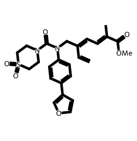 C=C/C(=C\C=C(/C)C(=O)OC)CN(C(=O)N1CCS(=O)(=O)CC1)c1ccc(-c2ccoc2)cc1